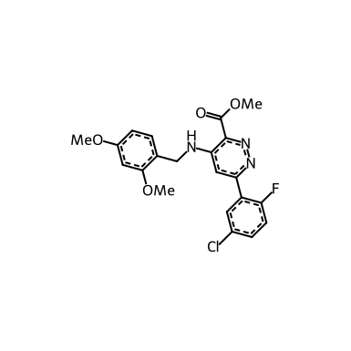 COC(=O)c1nnc(-c2cc(Cl)ccc2F)cc1NCc1ccc(OC)cc1OC